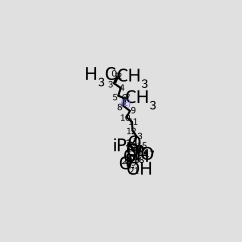 CC(C)=CCC/C(C)=C/CCCCCOCP(=O)(CP(=O)(O)O)OC(C)C